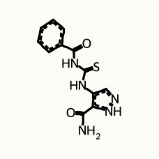 NC(=O)c1[nH]ncc1NC(=S)NC(=O)c1ccccc1